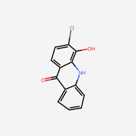 O=c1c2ccccc2[nH]c2c(O)c(Cl)ccc12